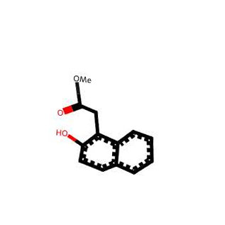 COC(=O)Cc1c(O)ccc2ccccc12